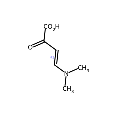 CN(C)/C=C/C(=O)C(=O)O